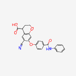 N#Cc1cc2c(cc1Oc1ccc(C(=O)Nc3ccccc3)cc1)OCCC2C(=O)O